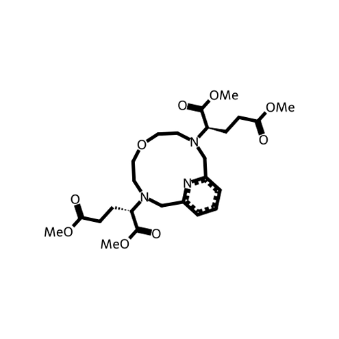 COC(=O)CC[C@H](C(=O)OC)N1CCOCCN([C@@H](CCC(=O)OC)C(=O)OC)Cc2cccc(n2)C1